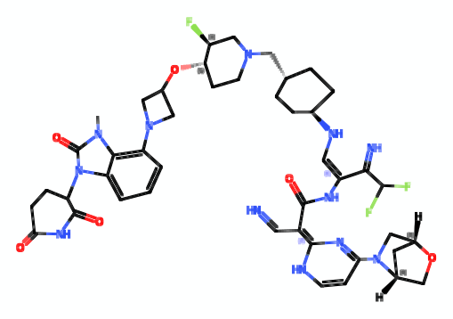 Cn1c(=O)n(C2CCC(=O)NC2=O)c2cccc(N3CC(O[C@H]4CCN(C[C@H]5CC[C@H](N/C=C(/NC(=O)/C(C=N)=C6\N=C(N7C[C@H]8C[C@@H]7CO8)C=CN6)C(=N)C(F)F)CC5)C[C@@H]4F)C3)c21